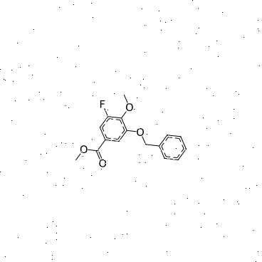 COC(=O)c1cc(F)c(OC)c(OCc2ccccc2)c1